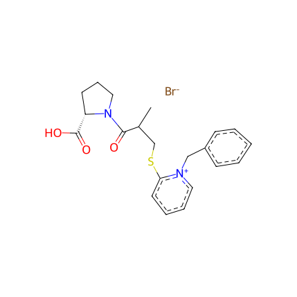 CC(CSc1cccc[n+]1Cc1ccccc1)C(=O)N1CCC[C@H]1C(=O)O.[Br-]